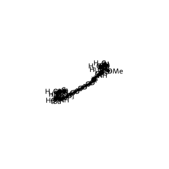 COC(=O)C[C@@H]1N=C(c2ccc(NC(=O)CCc3ccc(OCCOCCOCCOCCOCCOCCOCCOCC(=O)N[C@H](C(=O)N4C[C@H](O)C[C@H]4C(=O)N[C@@H](C)c4ccc(-c5scnc5C)cc4)C(C)(C)C)cc3)cc2)c2c(sc(C)c2C)-n2c(C)nnc21